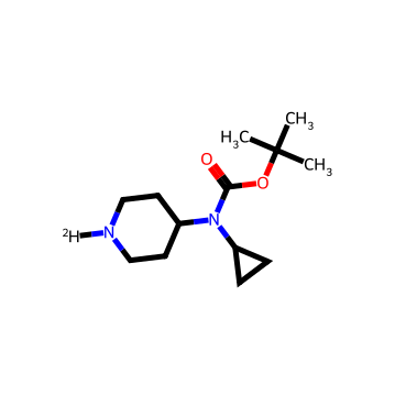 [2H]N1CCC(N(C(=O)OC(C)(C)C)C2CC2)CC1